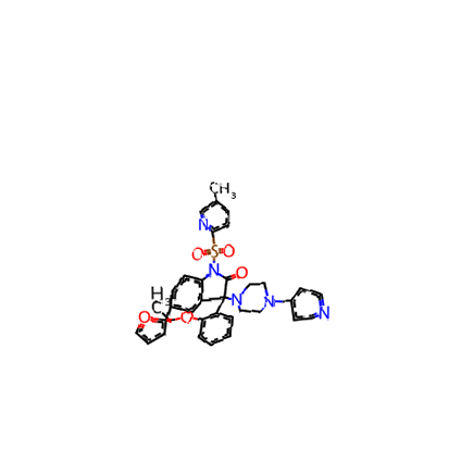 CCOc1ccccc1C1(N2CCN(c3ccncc3)CC2)C(=O)N(S(=O)(=O)c2ccc(C)cn2)c2ccc(-c3ccco3)cc21